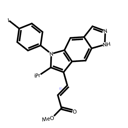 COC(=O)/C=C/c1c(C(C)C)n(-c2ccc(I)cc2)c2cc3cn[nH]c3cc12